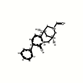 O=CN1C[C@@H]2C[C@H](C1)c1ccc(-c3ccccc3)c(=O)n1C2